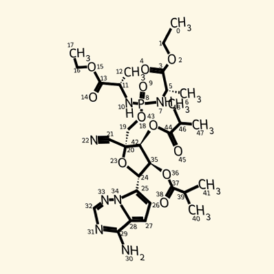 CCOC(=O)[C@H](C)NP(=O)(N[C@@H](C)C(=O)OCC)OC[C@@]1(C#N)O[C@@H](c2ccc3c(N)ncnn23)[C@H](OC(=O)C(C)C)[C@@H]1OC(=O)C(C)C